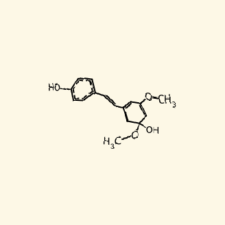 COC1=CC(O)(OC)CC(C=Cc2ccc(O)cc2)=C1